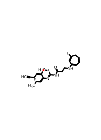 C#CC(F)\C=C(F)/C(=C\CC)/N=C(/NC(=O)CCNC1=CC=CCC(F)=C1)SC